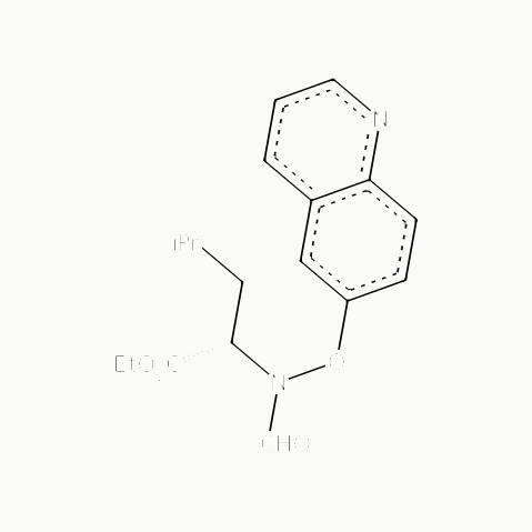 CCOC(=O)[C@H](CC(C)C)N(C=O)Oc1ccc2ncccc2c1